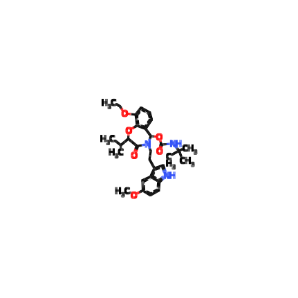 CCOc1cccc2c1OC(C(C)C)C(=O)N(CCc1c[nH]c3ccc(OC)cc13)C2OC(=O)NC(C)(C)C